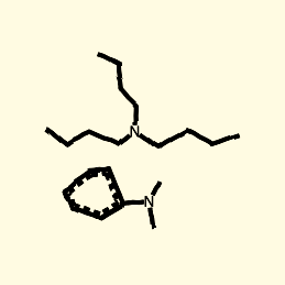 CCCCN(CCCC)CCCC.CN(C)c1ccccc1